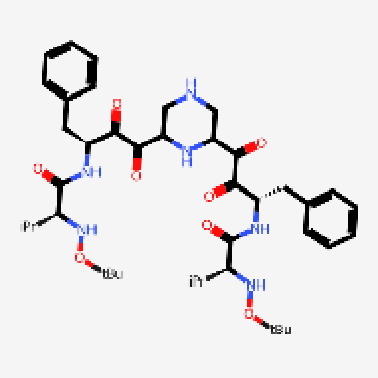 CC(C)[C@H](NOC(C)(C)C)C(=O)N[C@@H](Cc1ccccc1)C(=O)C(=O)C1CNCC(C(=O)C(=O)[C@H](Cc2ccccc2)NC(=O)[C@@H](NOC(C)(C)C)C(C)C)N1